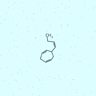 CC/C=C\C1C=CCC=CC1